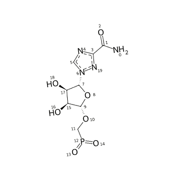 NC(=O)c1ncn([C@@H]2O[C@H](OCP(=O)=O)[C@@H](O)[C@H]2O)n1